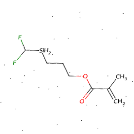 C=C(C)C(=O)OCCC[SiH2]C(F)F